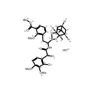 COc1ccc(C(N)C(=O)NC(Cc2cccc(C(=O)OC(C)(C)C)c2OC)B2O[C@@H]3C[C@@H]4C[C@@H](C4(C)C)[C@]3(C)O2)c(Cl)c1OC.Cl